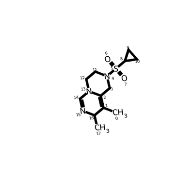 CC1=C2CN(S(=O)(=O)C3CC3)CCN2C=NC1C